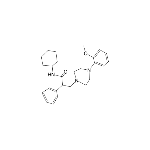 COc1ccccc1N1CCN(CC(C(=O)NC2CCCCC2)c2ccccc2)CC1